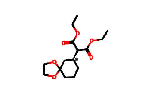 CCOC(=O)C(C(=O)OCC)[C@H]1CCCC2(C1)OCCO2